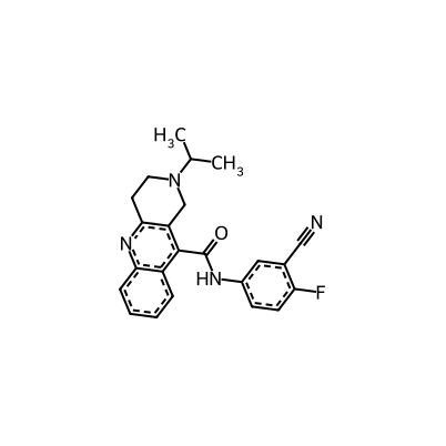 CC(C)N1CCc2nc3ccccc3c(C(=O)Nc3ccc(F)c(C#N)c3)c2C1